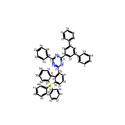 c1ccc(-c2cc(-c3ccccc3)cc(-c3nc(-c4ccccc4)nc(-c4cccc5c4-c4ccccc4S5(c4ccccc4)c4ccccc4)n3)c2)cc1